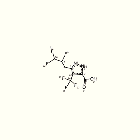 O=C(O)c1[nH]nc(CC(F)C(F)F)c1C(F)(F)F